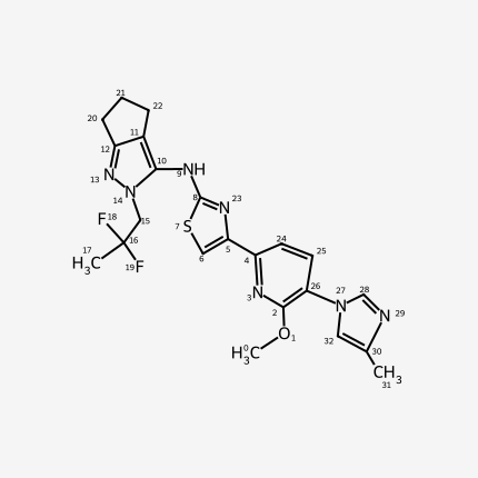 COc1nc(-c2csc(Nc3c4c(nn3CC(C)(F)F)CCC4)n2)ccc1-n1cnc(C)c1